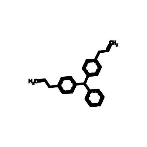 C=CCc1ccc(C(c2ccccc2)c2ccc(CC=C)cc2)cc1